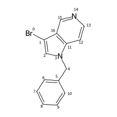 Brc1cn(Cc2ccccc2)c2ccncc12